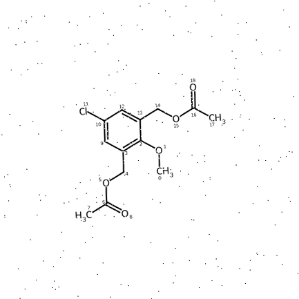 COc1c(COC(C)=O)cc(Cl)cc1COC(C)=O